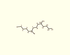 CCCCCC(C)CCCC(C)CCCC